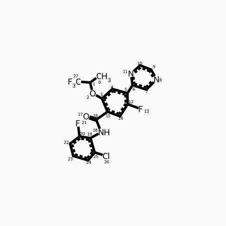 CC(Oc1cc(-c2cnccn2)c(F)cc1C(=O)Nc1c(F)cccc1Cl)C(F)(F)F